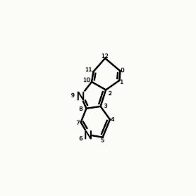 C1=CC2=c3ccncc3=NC2=CC1